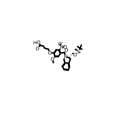 COc1cc(C(=O)N2Cc3ccccc3C[C@H]2CO[Si](C)(C)C(C)(C)C)c([N+](=O)[O-])cc1OCCCC(=O)O